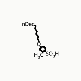 CCCCCCCCCCCCCCCCCOc1ccc(S(=O)(=O)O)c(C)c1